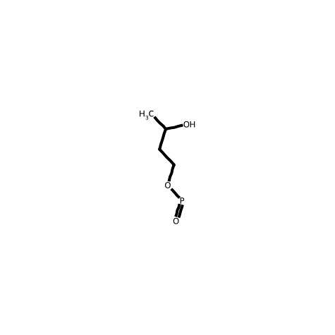 CC(O)CCOP=O